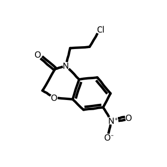 O=C1COc2cc([N+](=O)[O-])ccc2N1CCCl